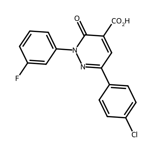 O=C(O)c1cc(-c2ccc(Cl)cc2)nn(-c2cccc(F)c2)c1=O